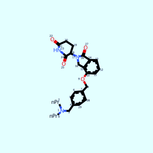 CCCN(CCC)Cc1ccc(COc2cccc3c2CN(C2CCC(=O)NC2=O)C3=O)cc1